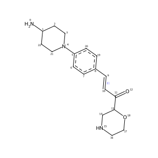 NC1CCN(c2ccc(/C=C/C(=O)C3CNCCO3)cc2)CC1